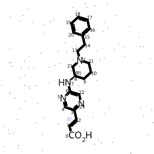 O=C(O)/C=C/c1cnc(N[C@@H]2CCCN(CCc3ccccc3)C2)cn1